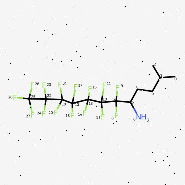 CC(C)CCC(N)C(F)(F)C(F)(F)C(F)(F)C(F)(F)C(F)(F)C(F)(F)C(F)(F)F